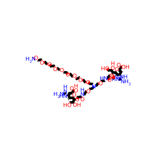 CC(=O)N[C@H]1[C@H]([C@H](OCC(=O)NCCOCCN(CCOCCNC(=O)CO[C@@H]([C@@H]2OC(C(=O)O)=C[C@H](NC(=N)N)[C@H]2C)[C@H](O)CO)CCOCCOCCOCCOCCOCCOCCOCCOCCON)[C@H](O)CO)OC(C(=O)O)=C[C@@H]1NC(=N)N